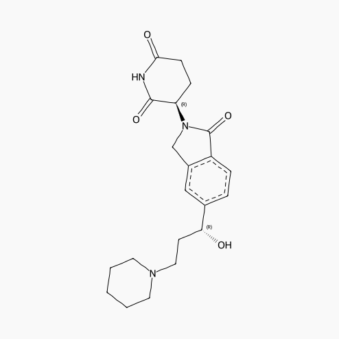 O=C1CC[C@@H](N2Cc3cc([C@H](O)CCN4CCCCC4)ccc3C2=O)C(=O)N1